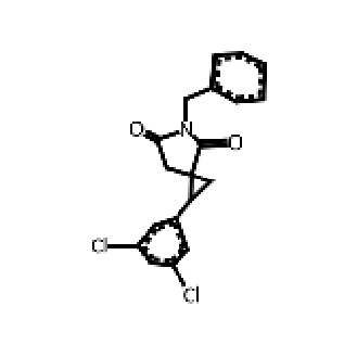 O=C1CC2(CC2c2cc(Cl)cc(Cl)c2)C(=O)N1Cc1ccccc1